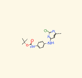 Cc1cc(Nc2ccc(NC(=O)OC(C)(C)C)cc2)nc(Cl)n1